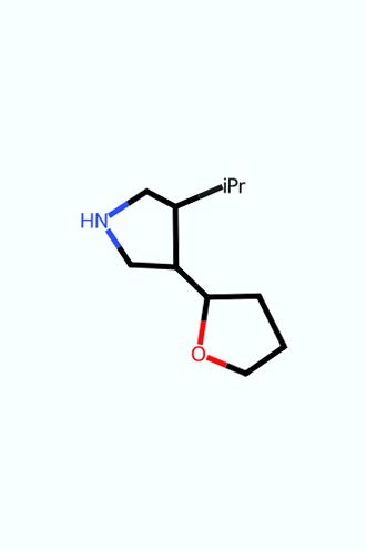 CC(C)C1CNCC1C1CCCO1